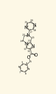 O=C(OCc1ccccc1)c1cn2c(n1)CN(c1cnccn1)CC2